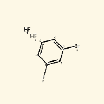 F.F.Fc1cccc(Br)c1